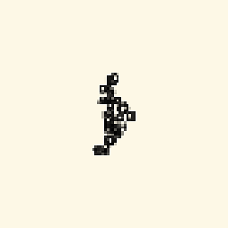 COc1ccc(Cl)c(Oc2c(COCCOC(=O)c3ccoc3)ncnc2NS(=O)(=O)c2ccc(C(C)(C)C)cc2)c1